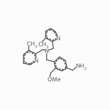 COCc1cc(CN)ccc1CN(Cc1ncccc1C)Cc1ncccc1C